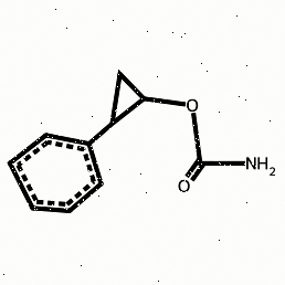 NC(=O)OC1CC1c1ccccc1